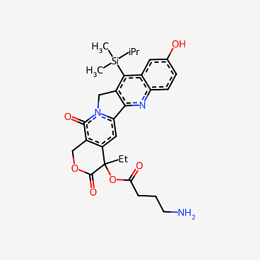 CCC1(OC(=O)CCCN)C(=O)OCc2c1cc1n(c2=O)Cc2c-1nc1ccc(O)cc1c2[Si](C)(C)C(C)C